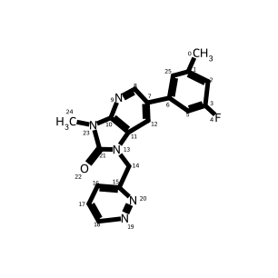 Cc1cc(F)cc(-c2cnc3c(c2)n(Cc2cccnn2)c(=O)n3C)c1